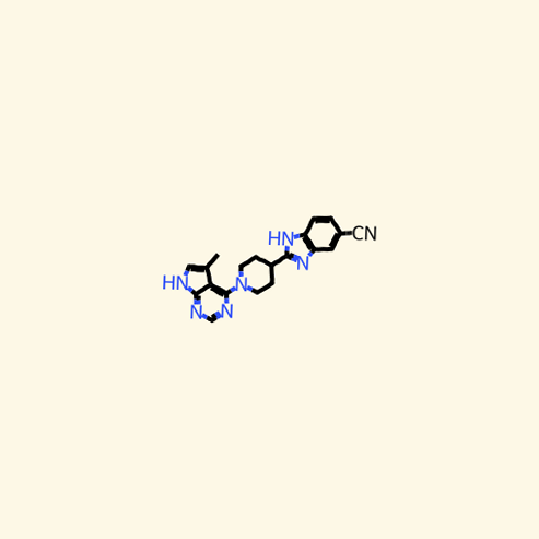 Cc1c[nH]c2ncnc(N3CCC(c4nc5cc(C#N)ccc5[nH]4)CC3)c12